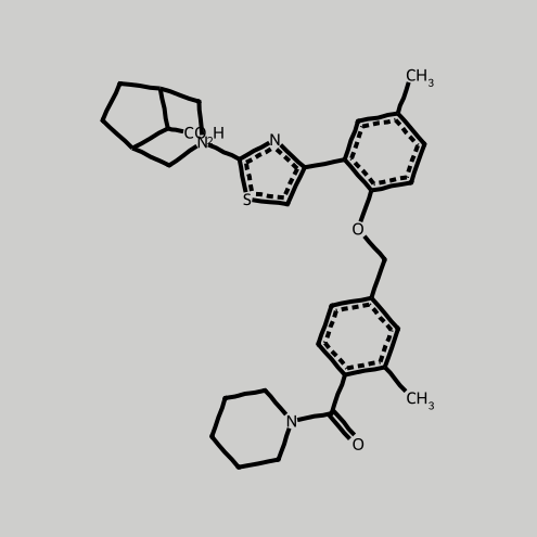 Cc1ccc(OCc2ccc(C(=O)N3CCCCC3)c(C)c2)c(-c2csc(N3CC4CCC(C3)C4C(=O)O)n2)c1